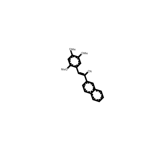 COc1cc(OC)c(OC)cc1/C=C(\C#N)c1ccc2ccccc2c1